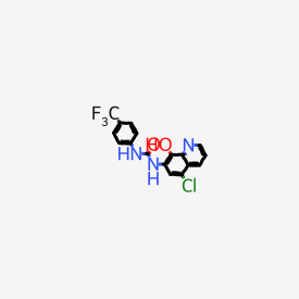 O=C(Nc1ccc(C(F)(F)F)cc1)Nc1cc(Cl)c2cccnc2c1O